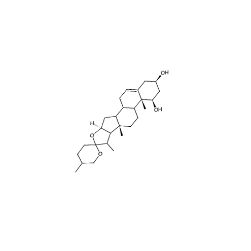 CC1CCC2(OC1)O[C@H]1CC3C4CC=C5C[C@@H](O)C[C@@H](O)[C@]5(C)C4CC[C@]3(C)C1C2C